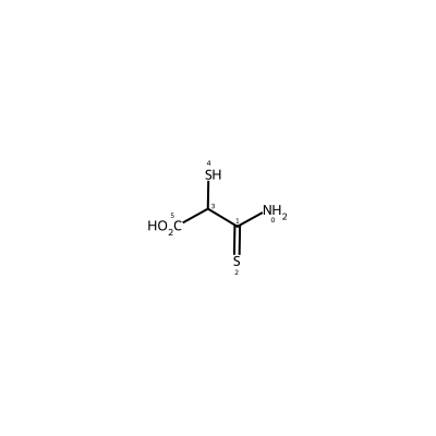 NC(=S)C(S)C(=O)O